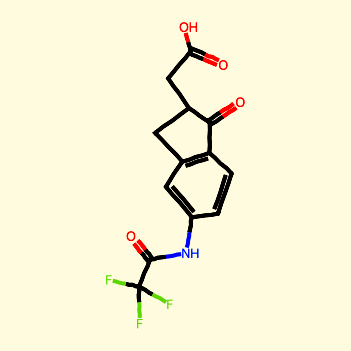 O=C(O)CC1Cc2cc(NC(=O)C(F)(F)F)ccc2C1=O